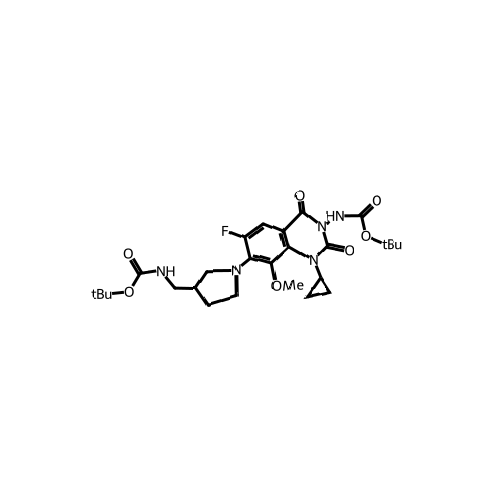 COc1c(N2CCC(CNC(=O)OC(C)(C)C)C2)c(F)cc2c(=O)n(NC(=O)OC(C)(C)C)c(=O)n(C3CC3)c12